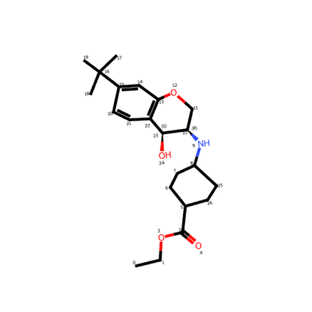 CCOC(=O)C1CCC(N[C@@H]2COc3cc(C(C)(C)C)ccc3[C@@H]2O)CC1